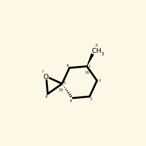 C[C@H]1CCC[C@@]2(CO2)C1